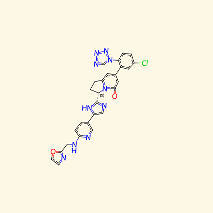 O=c1cc(-c2cc(Cl)ccc2-n2cnnn2)cc2n1[C@H](c1ncc(-c3ccc(NCc4ncco4)nc3)[nH]1)CC2